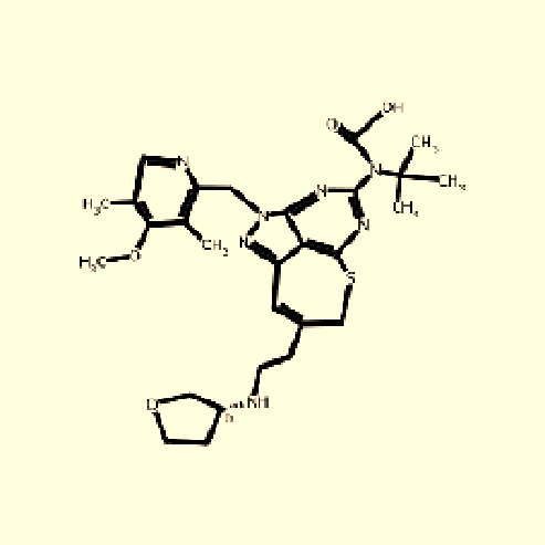 COc1c(C)cnc(Cn2nc3c4c(nc(N(C(=O)O)C(C)(C)C)nc42)SCC(CCN[C@@H]2CCOC2)=C3)c1C